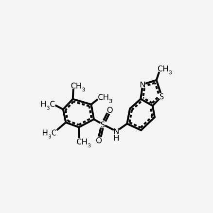 Cc1nc2cc(NS(=O)(=O)c3c(C)c(C)c(C)c(C)c3C)ccc2s1